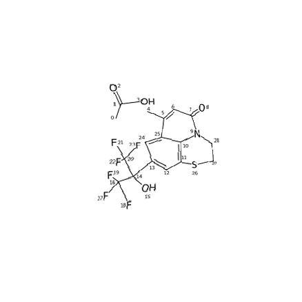 CC(=O)O.Cc1cc(=O)n2c3c(cc(C(O)(C(F)(F)F)C(F)(F)F)cc13)SCC2